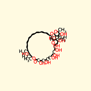 C[C@@H]1[C@H](O)[C@H](O[C@H]2/C=C/C=C/C=C/C=C/C=C/C=C/C=C/[C@H](C)[C@@H](O)[C@@H](C)[C@H](C)OC(=O)C[C@H](O)C[C@H](O)CC[C@@H](O)[C@H](O)C[C@H](O)C[C@]3(O)C[C@H](O)[C@@H](C(=O)O)[C@H](C2)O3)O[C@H](C)[C@H]1O